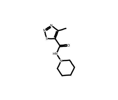 Cc1nnsc1C(=O)NN1CCCCC1